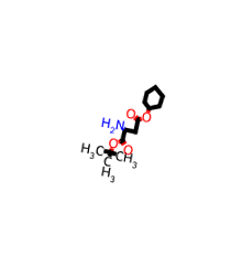 CC(C)(C)OC(=O)C(N)CC(=O)OC1CCCCC1